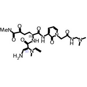 C=CN(C)/C(=C\N)C(=O)N[C@@H](CCC(=O)C(=O)NC)C(=O)Nc1cccn(CC(=O)NCN(C)C)c1=O